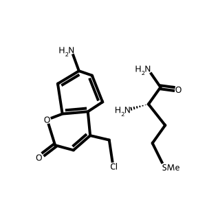 CSCC[C@H](N)C(N)=O.Nc1ccc2c(CCl)cc(=O)oc2c1